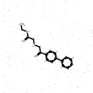 CCOC(=O)CSCC(=O)c1ccc(-c2ccccc2)cc1